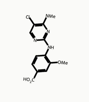 CNc1nc(Nc2ccc(C(=O)O)cc2OC)ncc1Cl